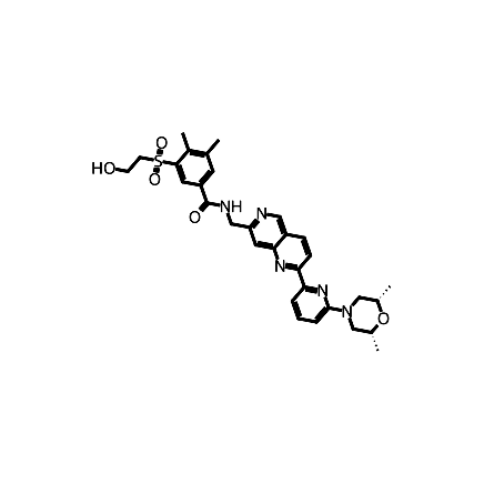 Cc1cc(C(=O)NCc2cc3nc(-c4cccc(N5C[C@@H](C)O[C@@H](C)C5)n4)ccc3cn2)cc(S(=O)(=O)CCO)c1C